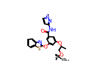 CC(CO[Si](C)(C)C(C)(C)C)Oc1cc(Oc2nc3ccccc3s2)cc(C(=O)Nc2ccn(C)n2)c1